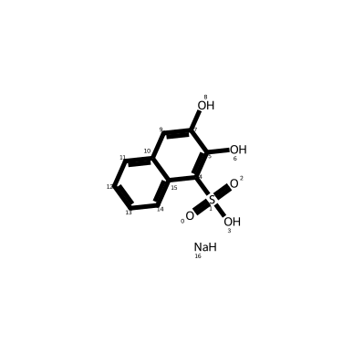 O=S(=O)(O)c1c(O)c(O)cc2ccccc12.[NaH]